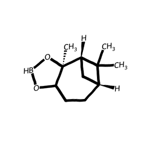 CC1(C)[C@@H]2CCC3OBO[C@@]3(C)[C@H]1C2